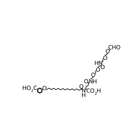 O=[C]COCCOCCNC(=O)COCCOCCNC(=O)CC[C@H](NC(=O)CCCCCCCCCCCCCCCOc1cccc(C(=O)O)c1)C(=O)O